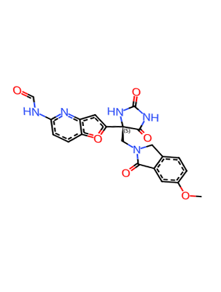 COc1ccc2c(c1)C(=O)N(C[C@@]1(c3cc4nc(NC=O)ccc4o3)NC(=O)NC1=O)C2